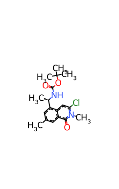 Cc1cc([C@@H](C)NC(=O)OC(C)(C)C)c2cc(Cl)n(C)c(=O)c2c1